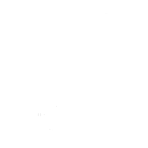 CCCCCCCCCOc1ccccc1S(=O)(=O)O